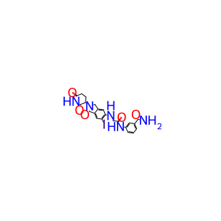 NC(=O)c1cccc(NC(=O)CNc2cc3c(cc2I)C(=O)N(C2CCC(=O)NC2=O)C3)c1